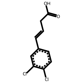 O=C(O)C/C=C/c1ccc(Cl)c(Cl)c1